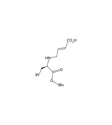 CC(C)C[C@@H](NC/C=C/C(=O)O)C(=O)OC(C)(C)C